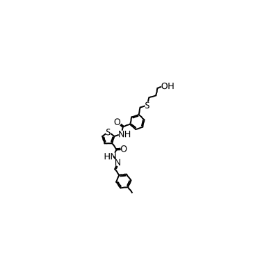 Cc1ccc(/C=N/NC(=O)c2ccsc2NC(=O)c2cccc(CSCCCO)c2)cc1